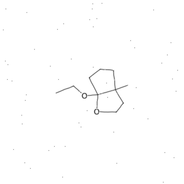 CCOC12CCCC1(C)CCO2